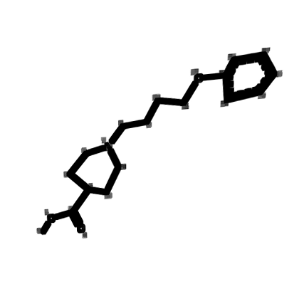 COC(=O)C1CCN(CCCCOc2ccccc2)CC1